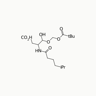 CC(C)CCCC(=O)NC(CC(=O)O)C(O)OCOC(=O)C(C)(C)C